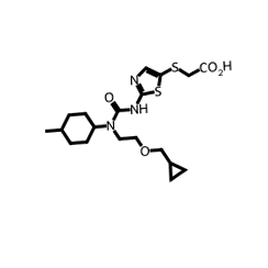 CC1CCC(N(CCOCC2CC2)C(=O)Nc2ncc(SCC(=O)O)s2)CC1